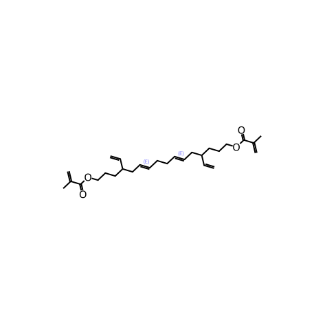 C=CC(C/C=C/CC/C=C/CC(C=C)CCCOC(=O)C(=C)C)CCCOC(=O)C(=C)C